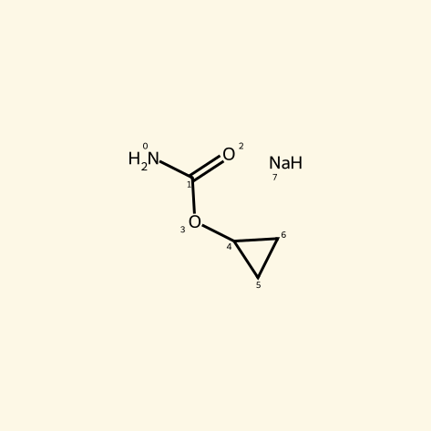 NC(=O)OC1CC1.[NaH]